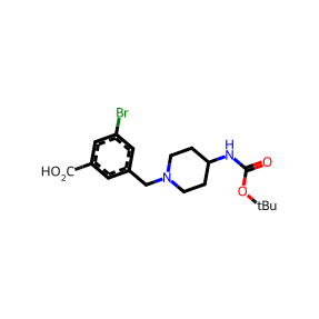 CC(C)(C)OC(=O)NC1CCN(Cc2cc(Br)cc(C(=O)O)c2)CC1